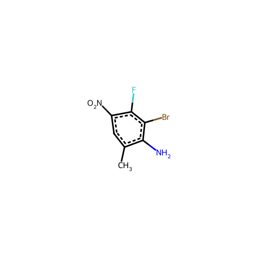 Cc1cc([N+](=O)[O-])c(F)c(Br)c1N